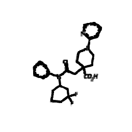 O=C(CC1(C(=O)O)CCN(c2ccccn2)CC1)N(c1ccccc1)C1CCCC(F)(F)C1